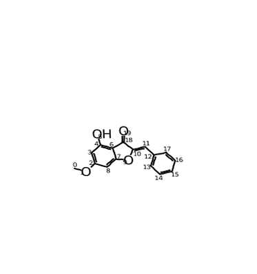 COc1cc(O)c2c(c1)O/C(=C\c1ccccc1)C2=O